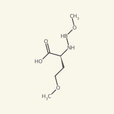 COBN[C@@H](CCOC)C(=O)O